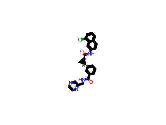 O=C(NCc1cnccn1)c1cccc([C@@H]2C[C@H]2C(=O)Nc2ccc3cccc(Cl)c3c2)c1